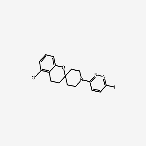 Clc1cccc2c1CCC1(CCN(c3ccc(I)nn3)CC1)O2